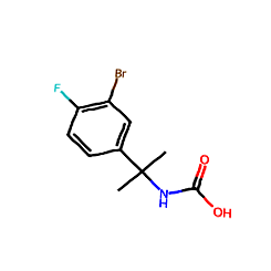 CC(C)(NC(=O)O)c1ccc(F)c(Br)c1